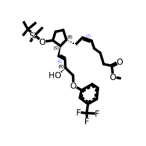 COC(=O)CCC/C=C\C[C@H]1CCC(O[Si](C)(C)C(C)(C)C)[C@@H]1/C=C/[C@@H](O)COc1cccc(C(F)(F)F)c1